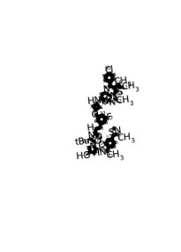 Cc1ncsc1-c1ccc([C@H](C)NC(=O)[C@@H]2C[C@@H](O)CN2C(=O)[C@@H](NC(=O)CCc2cc(F)cc(O[C@H]3C[C@H](NC(=O)CC4N=C(c5ccc(Cl)cc5)c5c(sc(C)c5C)-n5c(C)nnc54)C3)c2)C(C)(C)C)cc1